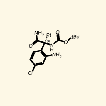 CC[C@@](NC(=O)OC(C)(C)C)(C(N)=O)c1ccc(Cl)cc1N